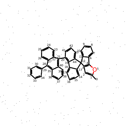 Cc1cc2c(o1)-c1ccccc1C21c2ccccc2-c2c(-c3c4ccccc4c(-c4ccccc4)c4ccccc34)cccc21